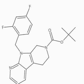 CC(C)(C)OC(=O)N1CCc2c(n(Cc3ccc(F)cc3F)c3ncccc23)C1